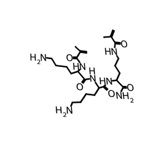 C=C(C)C(=O)NCCCC(NC(=O)C(CCCCN)NC(=O)C(CCCCN)NC(=O)C(=C)C)C(N)=O